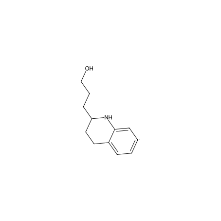 OCCCC1CCc2cc[c]cc2N1